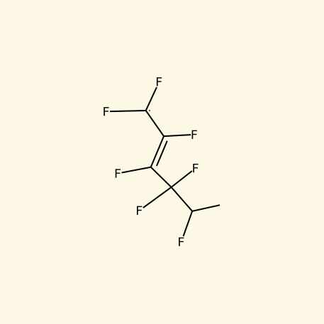 CC(F)C(F)(F)C(F)=C(F)[C](F)F